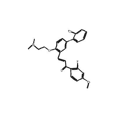 COc1ccc(C(=O)C=Cc2cc(-c3ccccc3Cl)ccc2OCCN(C)C)c(F)c1